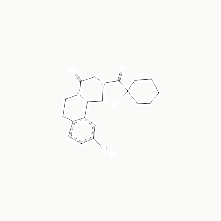 Cc1ccc2c(c1)C1CN(C(=O)C3(C)CCCCC3)CC(=O)N1CC2